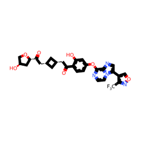 O=C(C[C@H]1C[C@@H](CC(=O)[C@@H]2C[C@@H](O)CO2)C1)c1ccc(Oc2nccn3c(-c4conc4C(F)(F)F)cnc23)cc1O